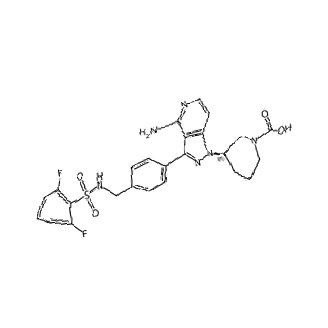 Nc1nccc2c1c(-c1ccc(CNS(=O)(=O)c3c(F)cccc3F)cc1)nn2[C@@H]1CCCN(C(=O)O)C1